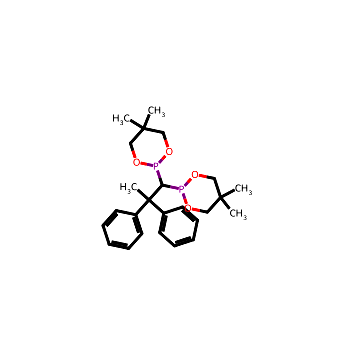 CC1(C)COP(C(P2OCC(C)(C)CO2)C(C)(c2ccccc2)c2ccccc2)OC1